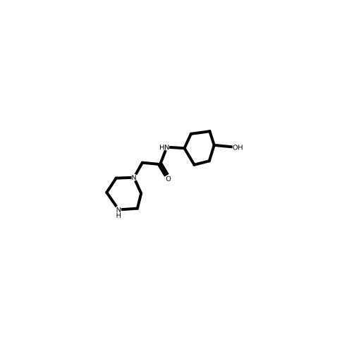 O=C(CN1CCNCC1)NC1CCC(O)CC1